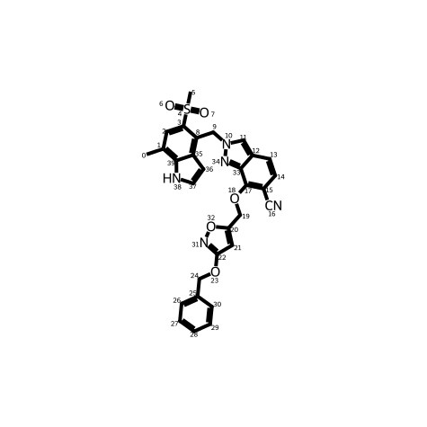 Cc1cc(S(C)(=O)=O)c(Cn2cc3ccc(C#N)c(OCc4cc(OCc5ccccc5)no4)c3n2)c2cc[nH]c12